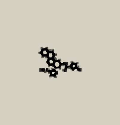 O=C(NC1CCc2ccc3c(ccc4ccccc43)c2C1)c1ccc(Cl)s1.O=C(O)c1ccoc1